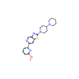 COc1cccc(-c2cc3sc(N4CCC(N5CCCCC5)CC4)nc3cn2)n1